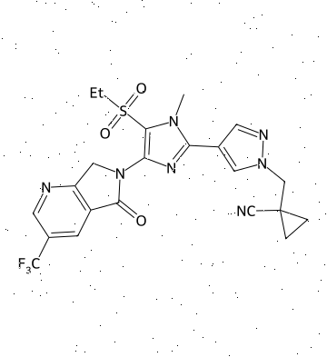 CCS(=O)(=O)c1c(N2Cc3ncc(C(F)(F)F)cc3C2=O)nc(-c2cnn(CC3(C#N)CC3)c2)n1C